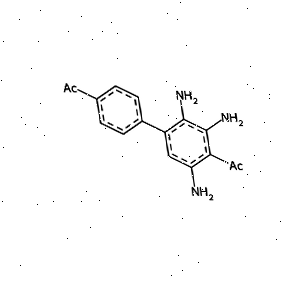 CC(=O)c1ccc(-c2cc(N)c(C(C)=O)c(N)c2N)cc1